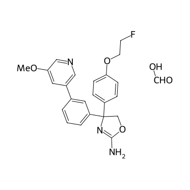 COc1cncc(-c2cccc(C3(c4ccc(OCCF)cc4)COC(N)=N3)c2)c1.O=CO